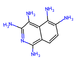 Nc1ccc2c(N)nc(N)c(N)c2c1N